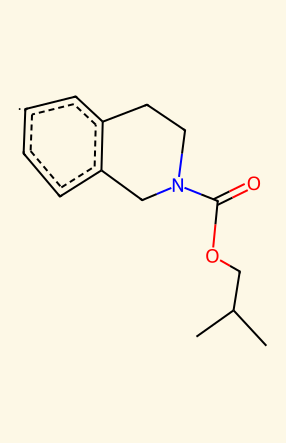 CC(C)COC(=O)N1CCc2c[c]ccc2C1